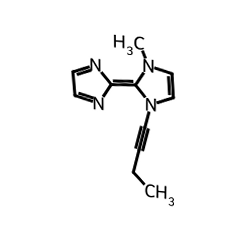 CCC#CN1C=CN(C)C1=C1N=CC=N1